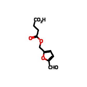 O=Cc1ccc(COC(=O)CCC(=O)O)o1